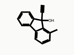 C#CC1(O)c2ccccc2-c2cccc(C)c21